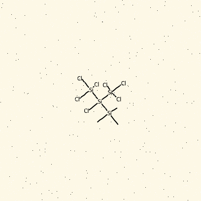 C[Si](C)(C)[Si](Cl)([Si](Cl)(Cl)Cl)[Si](Cl)(Cl)Cl